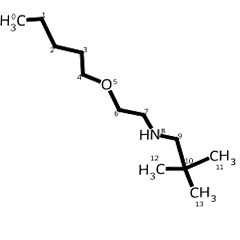 CCCCCOCCNCC(C)(C)C